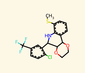 CSc1cccc2c1NC(c1cc(C(F)(F)F)ccc1Cl)C1OCCOC21